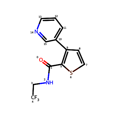 O=C(NCC(F)(F)F)c1sccc1-c1cccnc1